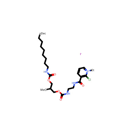 CCCCCCCCCCCCCCCCCCNC(=O)OCC(COC(=O)NCCNC(=O)c1ccc[n+](CC)c1Cl)OC.[I-]